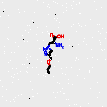 CCCOCc1cn(CC(N)C(=O)O)nn1